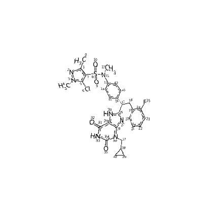 Cc1nn(C)c(Cl)c1S(=O)(=O)N(C)c1ccc(C(Cc2ccccc2F)c2nc3c([nH]2)c(=O)[nH]c(=O)n3CC2CC2)cc1